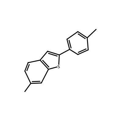 Cc1ccc(-c2cc3ccc(C)cc3s2)cc1